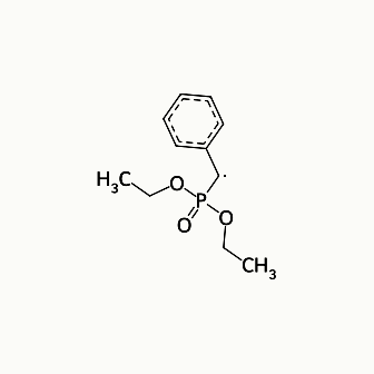 CCOP(=O)([CH]c1ccccc1)OCC